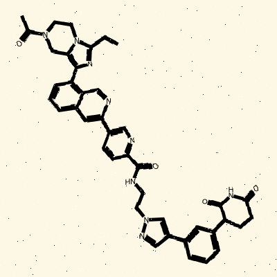 CCc1nc(-c2cccc3cc(-c4ccc(C(=O)NCCn5cc(-c6cccc(C7CCC(=O)NC7=O)c6)cn5)nc4)ncc23)c2n1CCN(C(C)=O)C2